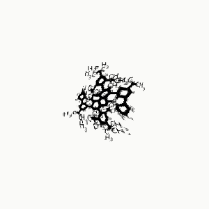 CC(C)c1cc2c3c(c1)-c1cc(-c4c(C(C)(C)C)cc(C(C)(C)C)cc4C(C)(C)C)c4cc5c6c(cc(-c7c(C(C)(C)C)cc(C(C)(C)C)cc7C(C)(C)C)c7cc(c1c4c76)B3c1ccccc1-2)-c1cc(C(C)C)cc2c1B5c1ccccc1-2